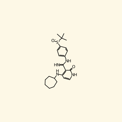 CC(C)(C)[S+]([O-])c1ccc(NC(=N)c2c(NC3CCCCCC3)cc[nH]c2=O)cc1